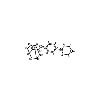 c1cc(N2CCOCC2)ccc1OC12CC3CC(CC(C3)C1)C2